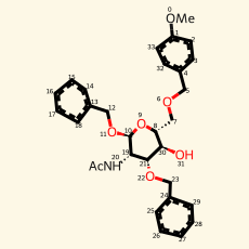 COc1ccc(COC[C@H]2O[C@H](OCc3ccccc3)[C@@H](NC(C)=O)[C@@H](OCc3ccccc3)[C@@H]2O)cc1